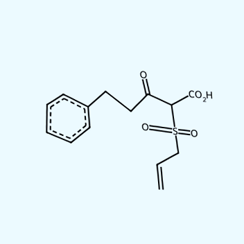 C=CCS(=O)(=O)C(C(=O)O)C(=O)CCc1ccccc1